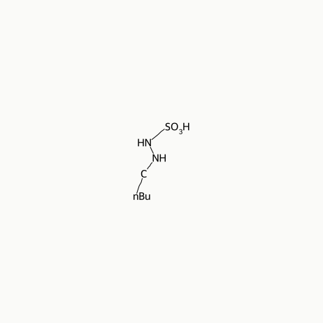 CCCCCNNS(=O)(=O)O